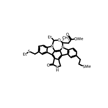 CCSCc1ccc2c(c1)c1c3c(c4c5cc(CCSC)ccc5n5c4c1n2C(CC)O[C@@]5(C)CC(=O)OC)CNC3=O